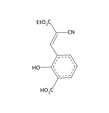 CCOC(=O)C(C#N)=Cc1cccc(C(=O)O)c1O